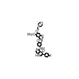 COc1cc2c(Oc3ccc(Nc4nccc5[nH]cc(-c6ccc(F)cc6)c(=O)c45)cc3F)ncnc2cc1OCCN1CCOCC1